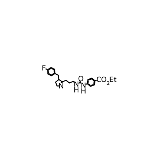 CCOC(=O)c1ccc(NC(=O)NCCCC2=NCCC2Cc2ccc(F)cc2)cc1